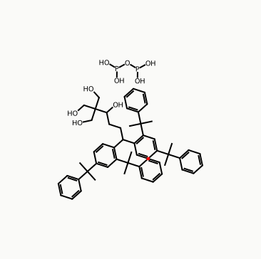 CC(C)(c1ccccc1)c1ccc(C(CCC(O)C(CO)(CO)CO)c2ccc(C(C)(C)c3ccccc3)cc2C(C)(C)c2ccccc2)c(C(C)(C)c2ccccc2)c1.OP(O)OP(O)O